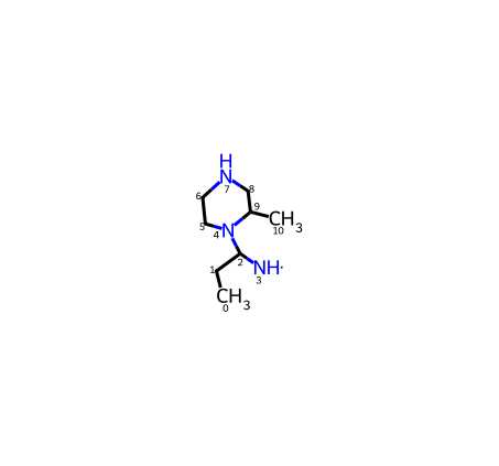 CCC([NH])N1CCNCC1C